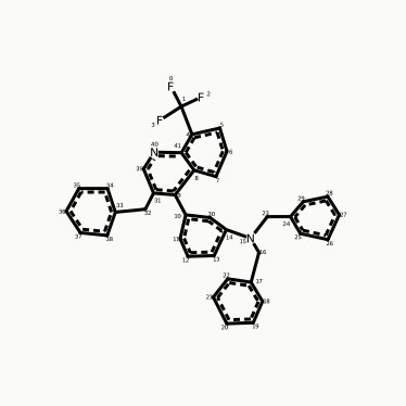 FC(F)(F)c1cccc2c(-c3cccc(N(Cc4ccccc4)Cc4ccccc4)c3)c(Cc3ccccc3)cnc12